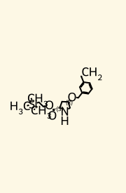 C=Cc1cccc(CO[C@H]2CN[C@H](C(=O)OCC[Si](C)(C)C)C2)c1